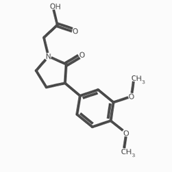 COc1ccc(C2CCN(CC(=O)O)C2=O)cc1OC